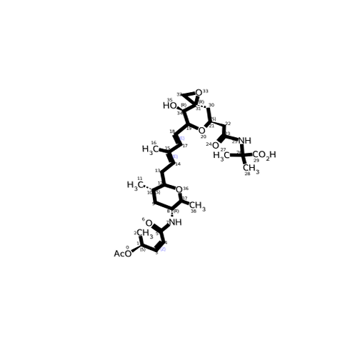 CC(=O)O[C@@H](C)/C=C\C(=O)N[C@@H]1C[C@H](C)C(C/C=C(C)/C=C/C2O[C@H](CC(=O)NC(C)(C)C(=O)O)C[C@@]3(CO3)[C@@H]2O)OC1C